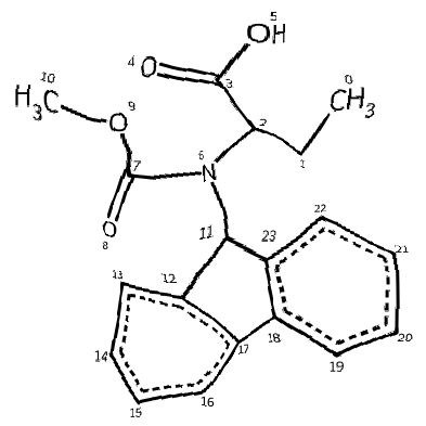 CCC(C(=O)O)N(C(=O)OC)C1c2ccccc2-c2ccccc21